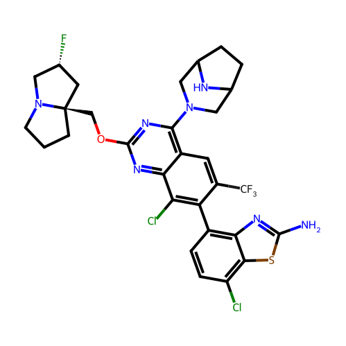 Nc1nc2c(-c3c(C(F)(F)F)cc4c(N5CC6CCC(C5)N6)nc(OC[C@@]56CCCN5C[C@H](F)C6)nc4c3Cl)ccc(Cl)c2s1